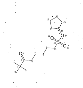 CC(C)(C)C(=O)CCCCCS(=O)(=O)O[S+]1CCCC1